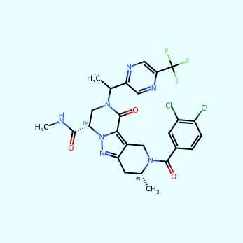 CNC(=O)[C@@H]1CN(C(C)c2cnc(C(F)(F)F)cn2)C(=O)c2c3c(nn21)C[C@@H](C)N(C(=O)c1ccc(Cl)c(Cl)c1)C3